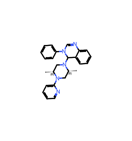 C[C@@H]1CN(C2c3ccccc3N=CN2c2ccccc2)[C@H](C)CN1c1ccccn1